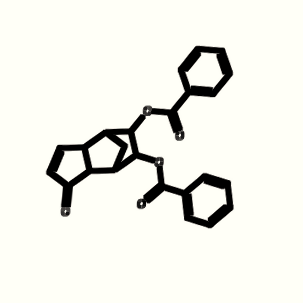 O=C(OC1C2CC(C1OC(=O)c1ccccc1)C1C(=O)C=CC21)c1ccccc1